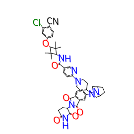 CC1(C)C(NC(=O)c2ccc(N3CCC(CN4C5CCC4CN(c4ccc6c(c4)C(=O)N(C4CCC(=O)NC4=O)C6=O)C5)CC3)nc2)C(C)(C)C1Oc1ccc(C#N)c(Cl)c1